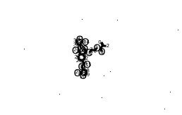 C=C(C)C(=O)OCCOC(=O)C1CC(C(=O)OC2CCOC2=O)CCC1C(=O)OC1CCOC1=O